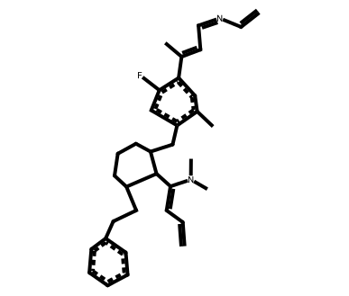 C=C/C=C(/C1C(CCc2ccccc2)CCCC1Cc1cc(F)c(/C(C)=C/C=N\C=C)cc1C)N(C)C